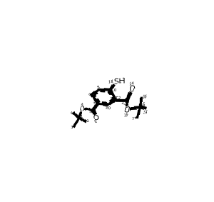 CC(C)(C)OC(=O)c1ccc(S)c(C(=O)OC(C)(C)C)c1